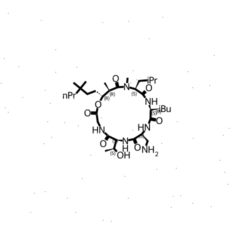 CCCC(C)(C)CC[C@H]1OC(=O)CNC(=O)[C@H]([C@H](C)O)NC(=O)[C@H](CN)NC(=O)[C@H]([C@H](C)CC)NC(=O)[C@H](CC(C)C)N(C)C(=O)[C@@H]1C